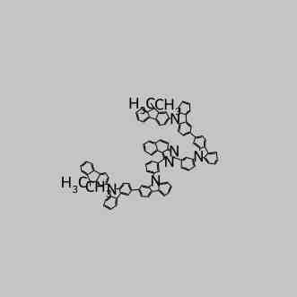 CC1(C)c2ccccc2-c2ccc(-n3c4ccccc4c4cc(-c5ccc6c7ccccc7n(-c7cccc(-c8nc(-c9cccc(-n%10c%11ccccc%11c%11ccc(-c%12ccc%13c(c%12)c%12ccccc%12n%13-c%12ccc%13c(c%12)C(C)(C)c%12ccccc%12-%13)cc%11%10)c9)c9c(ccc%10ccccc%109)n8)c7)c6c5)ccc43)cc21